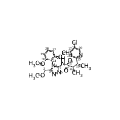 COCc1nnc(NS(=O)(=O)C(C)C(C)c2ccc(Cl)cn2)n1-c1c(OC)cccc1OC